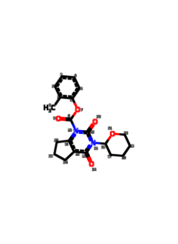 Cc1ccccc1OC(=O)n1c2c(c(=O)n(C3CCCCO3)c1=O)CCC2